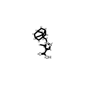 Cc1c(C(=O)O)cnn1CC12CC3CC(CC(C3)C1)C2